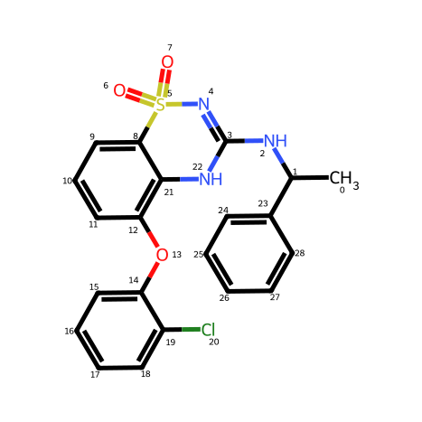 CC(NC1=NS(=O)(=O)c2cccc(Oc3ccccc3Cl)c2N1)c1ccccc1